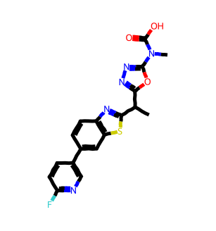 CC(c1nnc(N(C)C(=O)O)o1)c1nc2ccc(-c3ccc(F)nc3)cc2s1